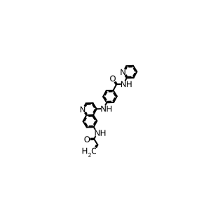 C=CC(=O)Nc1ccc2nccc(Nc3ccc(C(=O)Nc4ccccn4)cc3)c2c1